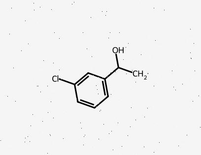 [CH2]C(O)c1cccc(Cl)c1